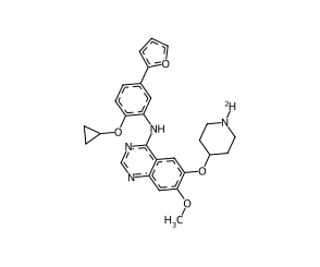 [2H]N1CCC(Oc2cc3c(Nc4cc(-c5ccco5)ccc4OC4CC4)ncnc3cc2OC)CC1